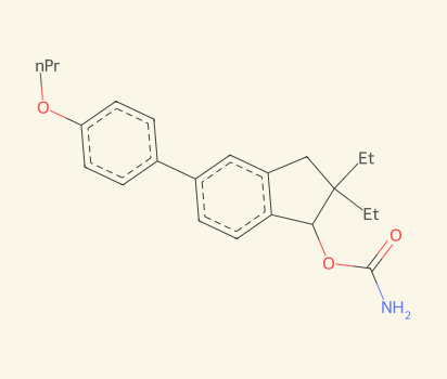 CCCOc1ccc(-c2ccc3c(c2)CC(CC)(CC)C3OC(N)=O)cc1